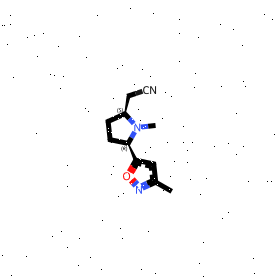 Cc1cc([C@H]2CC[C@@H](CC#N)N2C)on1